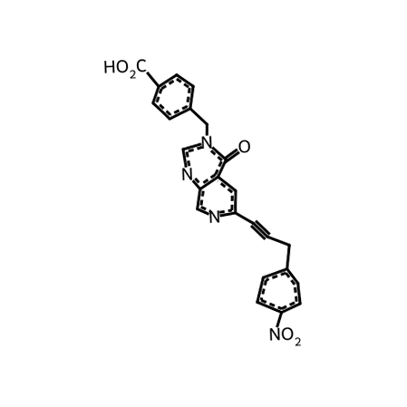 O=C(O)c1ccc(Cn2cnc3cnc(C#CCc4ccc([N+](=O)[O-])cc4)cc3c2=O)cc1